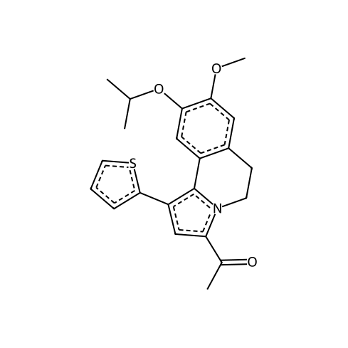 COc1cc2c(cc1OC(C)C)-c1c(-c3cccs3)cc(C(C)=O)n1CC2